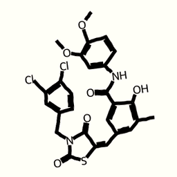 COc1ccc(NC(=O)c2cc(C=C3SC(=O)N(Cc4ccc(Cl)c(Cl)c4)C3=O)cc(C)c2O)cc1OC